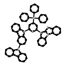 c1ccc([Si](c2ccccc2)(c2ccccc2)c2cc(-n3c4ccccc4c4cc(-n5c6ccccc6c6ccccc65)ccc43)nc(-n3c4ccccc4n4c5ccccc5nc34)c2)cc1